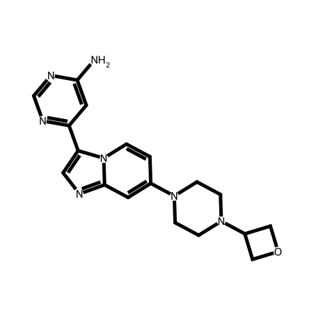 Nc1cc(-c2cnc3cc(N4CCN(C5COC5)CC4)ccn23)ncn1